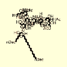 CCCCCCCCCCCCC/C=C/[C@@H](O)[C@H](CO[C@@H]1OC(CO)[C@@H](O[C@@H]2OC(CO)[C@H](O[C@@H]3OC(CO)[C@H](O)[C@H](O[C@@H]4OC(CO)[C@H](O)[C@H](O[C@]5(C(=O)O)CC(O)[C@@H](NC(C)=O)C([C@H](O)[C@H](O)COC(C)=O)O5)C4O)C3NC(C)=O)[C@H](O[C@]3(C(=O)O)CC(O)[C@@H](NC(C)=O)C([C@H](O)[C@H](O)CO)O3)C2O)[C@H](O)C1O)NC(=O)CCCCCCCCCCCCCCCCCCCCCCCCC